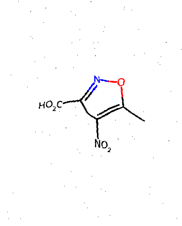 Cc1onc(C(=O)O)c1[N+](=O)[O-]